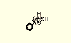 CC(C)(c1ccccc1)S(=O)(=O)NO